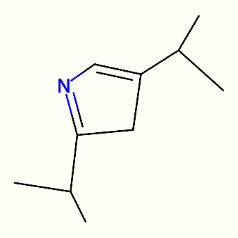 CC(C)C1=CN=C(C(C)C)C1